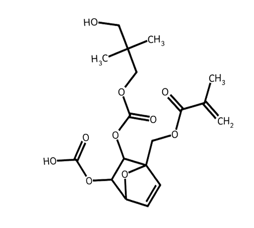 C=C(C)C(=O)OCC12C=CC(O1)C(OC(=O)O)C2OC(=O)OCC(C)(C)CO